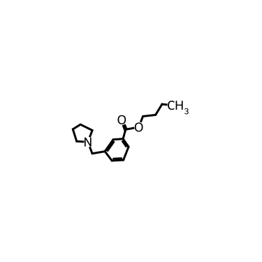 CCCCOC(=O)c1cccc(CN2CCCC2)c1